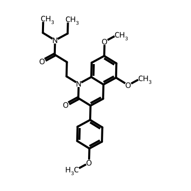 CCN(CC)C(=O)CCn1c(=O)c(-c2ccc(OC)cc2)cc2c(OC)cc(OC)cc21